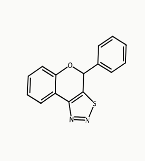 c1ccc(C2Oc3ccccc3-c3nnsc32)cc1